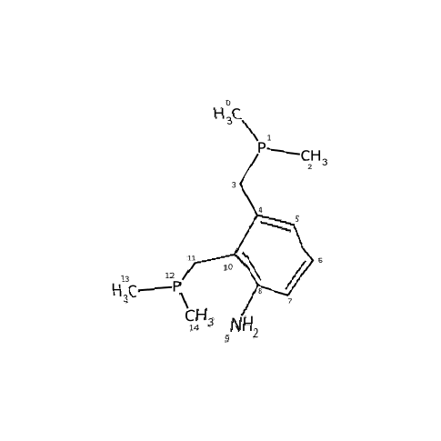 CP(C)Cc1cccc(N)c1CP(C)C